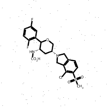 CS(=O)(=O)c1ccc2c(c1Cl)CN([C@H]1COC(c3cc(F)ccc3F)[C@@H](NC(=O)O)C1)C2